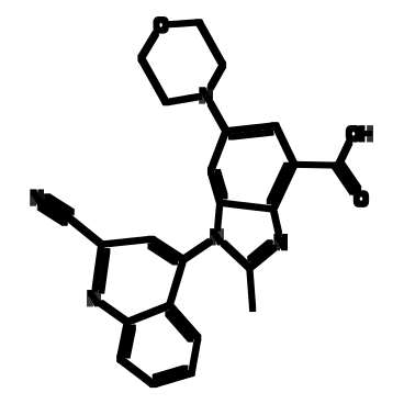 Cc1nc2c(C(=O)O)cc(N3CCOCC3)cc2n1-c1cc(C#N)nc2ccccc12